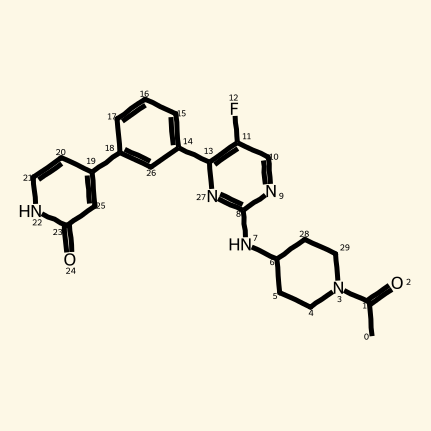 CC(=O)N1CCC(Nc2ncc(F)c(-c3cccc(-c4cc[nH]c(=O)c4)c3)n2)CC1